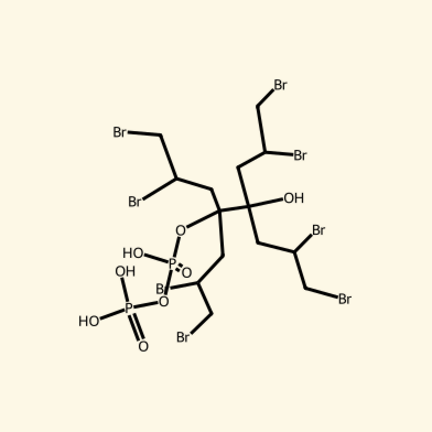 O=P(O)(O)OP(=O)(O)OC(CC(Br)CBr)(CC(Br)CBr)C(O)(CC(Br)CBr)CC(Br)CBr